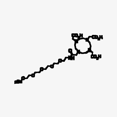 CCCCOCCOCCOCCOCCOCCNC(=O)CN1CCN(CC(=O)O)CCN(CC(=O)O)CCN(CC(=O)O)CC1